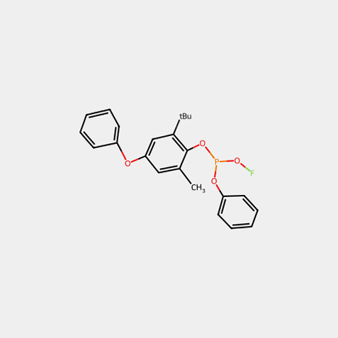 Cc1cc(Oc2ccccc2)cc(C(C)(C)C)c1OP(OF)Oc1ccccc1